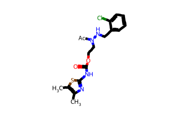 CC(=O)N(CCOC(=O)Nc1nc(C)c(C)s1)NCc1ccccc1Cl